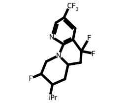 CC(C)C1CC2CC(F)(F)c3cc(C(F)(F)F)cnc3N2CC1F